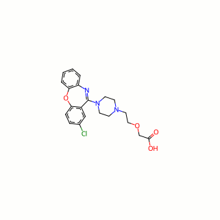 O=C(O)COCCN1CCN(C2=Nc3ccccc3Oc3ccc(Cl)cc32)CC1